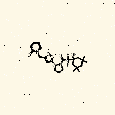 CC1(C)CC(C)(C)CC(O)(C(F)(F)C(=O)N2CCC[C@H]2c2cc(Cn3ccccc3=O)on2)C1